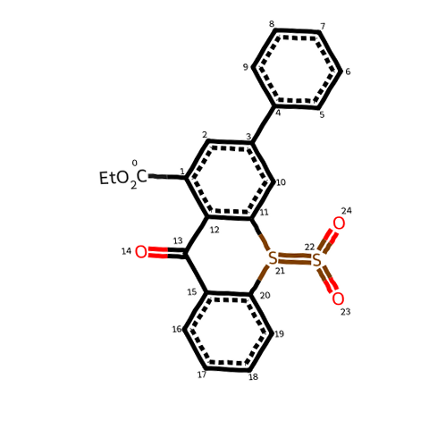 CCOC(=O)c1cc(-c2ccccc2)cc2c1C(=O)c1ccccc1S2=S(=O)=O